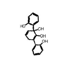 OC1=C(c2ccccc2O)[CH]C=CC1(O)c1ccccc1O